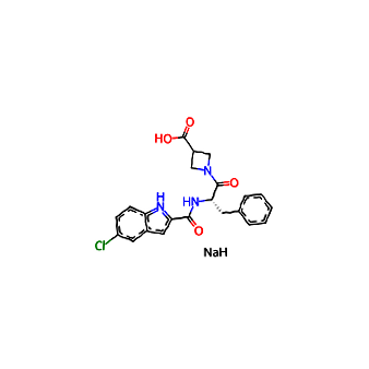 O=C(N[C@@H](Cc1ccccc1)C(=O)N1CC(C(=O)O)C1)c1cc2cc(Cl)ccc2[nH]1.[NaH]